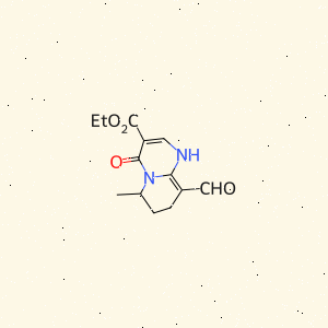 CCOC(=O)C1=CNC2=C(C=O)CCC(C)N2C1=O